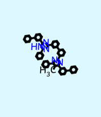 Cc1c(-c2ccccc2)nc(-c2cccc(-c3cccc(C4=NC(c5cccc(-c6ccccc6)c5)NC(c5ccccc5)=N4)c3)c2)nc1-c1cccc(-c2ccccc2)c1